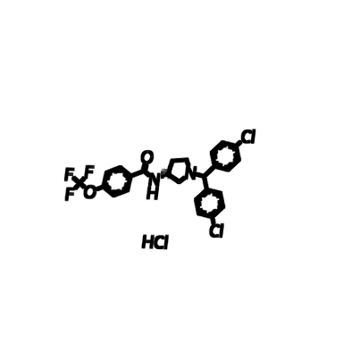 Cl.O=C(N[C@@H]1CCN(C(c2ccc(Cl)cc2)c2ccc(Cl)cc2)C1)c1ccc(OC(F)(F)F)cc1